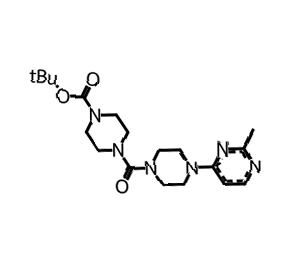 Cc1nccc(N2CCN(C(=O)N3CCN(C(=O)OC(C)(C)C)CC3)CC2)n1